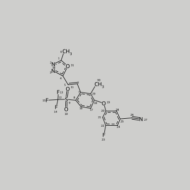 Cc1nnc(C=Cc2c(S(=O)(=O)C(F)(F)F)ccc(Oc3cc(F)cc(C#N)c3)c2C)o1